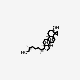 C[C@@H](CO)CCC[C@@H](C)[C@H]1CC[C@H]2[C@@H]3CC=C4C5(CC5)[C@H](O)CC[C@]4(C)[C@H]3CC[C@]12C